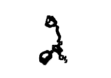 Cc1cc(OCCCCN2CCOCC2)nn1C1CCCCC1